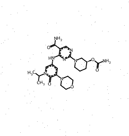 CC(C)n1cc(Nc2nc(N3CCC[C@H](OC(N)=O)C3)ncc2C(N)=O)cc(N2CCOCC2)c1=O